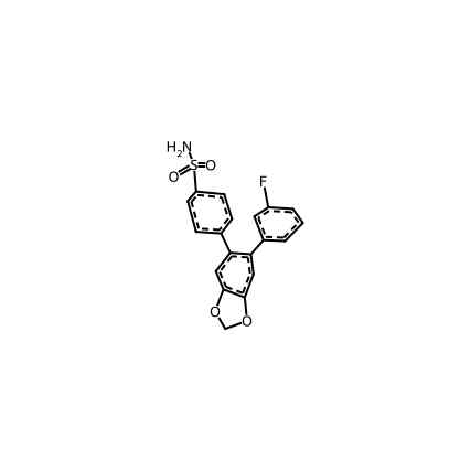 NS(=O)(=O)c1ccc(-c2cc3c(cc2-c2cccc(F)c2)OCO3)cc1